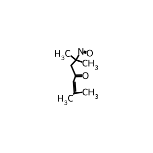 CC(C)=CC(=O)CC(C)(C)N=O